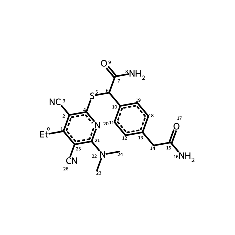 CCc1c(C#N)c(SC(C(N)=O)c2ccc(CC(N)=O)cc2)nc(N(C)C)c1C#N